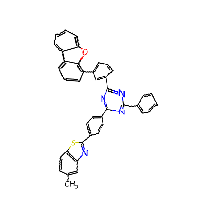 Cc1ccc2sc(-c3ccc(-c4nc(-c5ccccc5)nc(-c5cccc(-c6cccc7c6oc6ccccc67)c5)n4)cc3)nc2c1